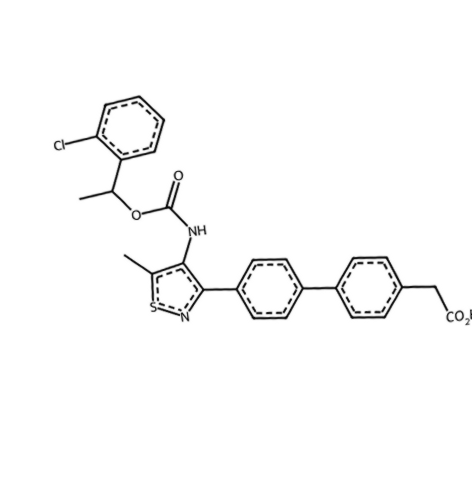 Cc1snc(-c2ccc(-c3ccc(CC(=O)O)cc3)cc2)c1NC(=O)OC(C)c1ccccc1Cl